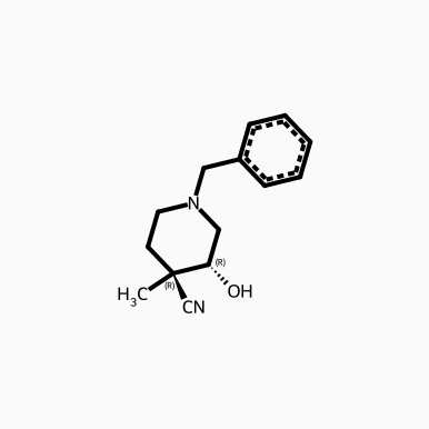 C[C@]1(C#N)CCN(Cc2ccccc2)C[C@@H]1O